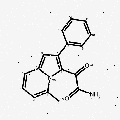 Cc1cccc2cc(-c3ccccc3)c(C(=O)C(N)=O)n12